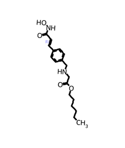 CCCCCCOC(=O)CNCc1ccc(/C=C/C(=O)NO)cc1